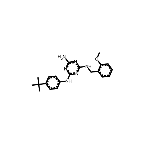 COc1ccccc1CNc1nc(N)nc(Nc2ccc(C(C)(C)C)cc2)n1